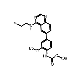 CCOc1cc(-c2ccc3ncnc(NCCC(C)C)c3c2)ccc1NC(=O)OC(C)(C)C